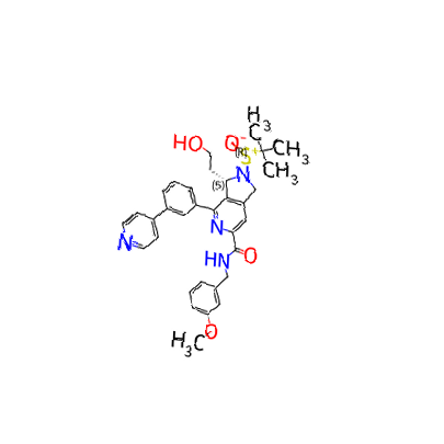 COc1cccc(CNC(=O)c2cc3c(c(-c4cccc(-c5ccncc5)c4)n2)[C@H](CCO)N([S@@+]([O-])C(C)(C)C)C3)c1